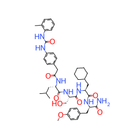 COc1ccc(C[C@@H](NC(=O)[C@H](CC2CCCCC2)NC(=O)[C@H](CO)NC(=O)[C@H](CC(C)C)NC(=O)Cc2ccc(NC(=O)Nc3ccccc3C)cc2)C(N)=O)cc1